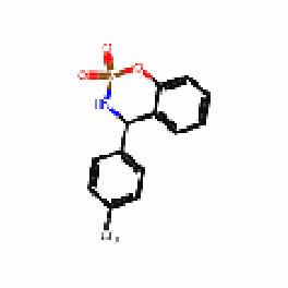 O=S1(=O)N[C@H](c2ccc(C(F)(F)F)cc2)c2ccccc2O1